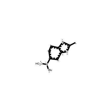 Cc1nc2ccc(N(C(=O)O)C(C)(C)C)cc2o1